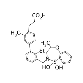 CCc1c(CN2CC(C)Oc3ccccc3S2(O)O)cccc1-c1ccc(CCC(=O)O)c(C)c1